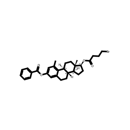 Cc1cc(OC(=O)c2ccccc2)cc2c1[C@H]1CC[C@]3(C)[C@@H](OC(=O)CCCBr)CC[C@H]3[C@@H]1CC2